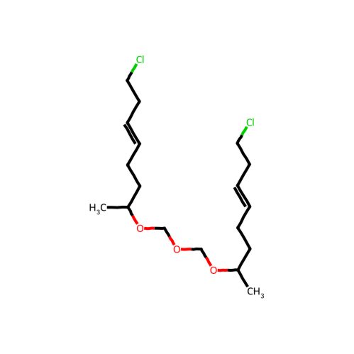 CC(CCC=CCCCl)OCOCOC(C)CCC=CCCCl